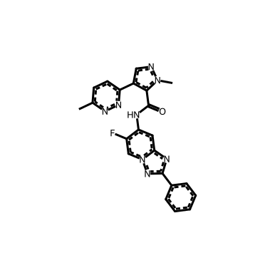 Cc1ccc(-c2cnn(C)c2C(=O)Nc2cc3nc(-c4ccccc4)nn3cc2F)nn1